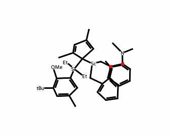 CC[Si](CC)(c1cc(C)cc(C(C)(C)C)c1OC)[C]1([Sc]([CH2]c2ccccc2N(C)C)[CH2]c2ccccc2N(C)C)C=C(C)C=C1C